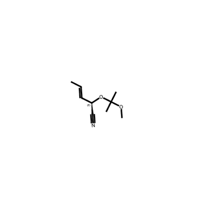 CC=C[C@H](C#N)OC(C)(C)OC